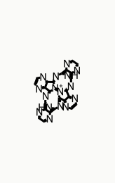 c1cnc2c(n1)-c1nc3[nH]c(nc4[n+]5c(nc6[nH]c(nc-2[n+]15)c1nccnc61)-c1nccnc1-4)c1nccnc31